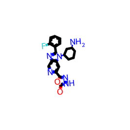 N[C@H]1CCC[C@@H](n2c(-c3ccccc3F)nc3cnc(-c4n[nH]c(=O)o4)cc32)C1